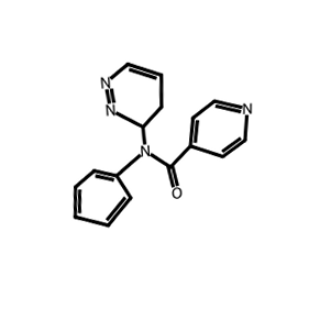 O=C(c1ccncc1)N(c1ccccc1)C1CC=CN=N1